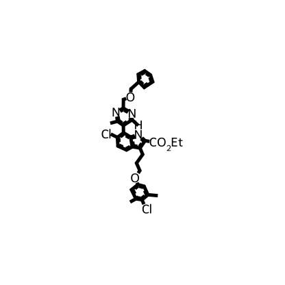 CCOC(=O)c1[nH]c2c(-c3c(C)nc(COCc4ccccc4)nc3C)c(Cl)ccc2c1CCCOc1cc(C)c(Cl)c(C)c1